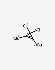 CC(C)(C)C1=C(C(C)(C)C)C1(Cl)Cl